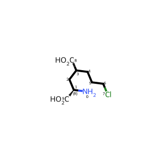 N[C@H](CC(CCCCl)C(=O)O)C(=O)O